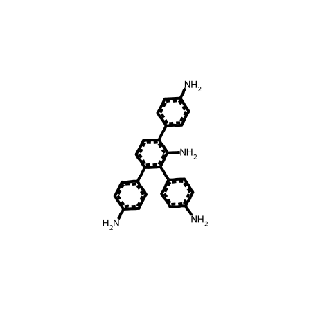 Nc1ccc(-c2ccc(-c3ccc(N)cc3)c(-c3ccc(N)cc3)c2N)cc1